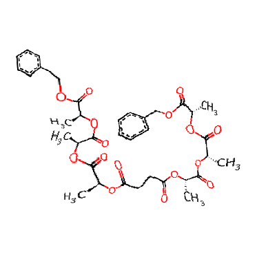 C[C@H](OC(=O)CCC(=O)O[C@@H](C)C(=O)O[C@@H](C)C(=O)O[C@@H](C)C(=O)OCc1ccccc1)C(=O)O[C@@H](C)C(=O)O[C@@H](C)C(=O)OCc1ccccc1